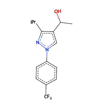 CC(C)c1nn(-c2ccc(C(F)(F)F)cc2)cc1C(C)O